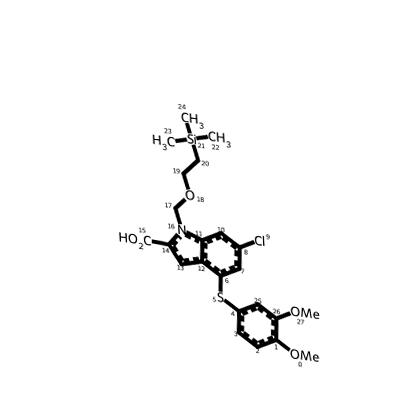 COc1ccc(Sc2cc(Cl)cc3c2cc(C(=O)O)n3COCC[Si](C)(C)C)cc1OC